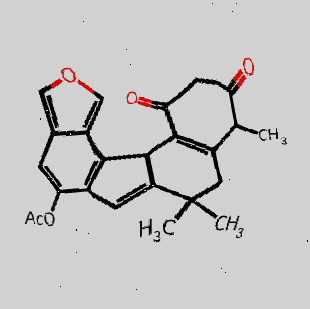 CC(=O)Oc1cc2cocc2c2c1C=C1C2C2=C(CC1(C)C)C(C)C(=O)CC2=O